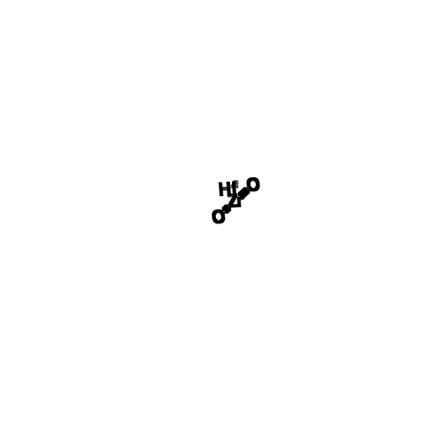 [Hf].[O]=[Zr]=[O]